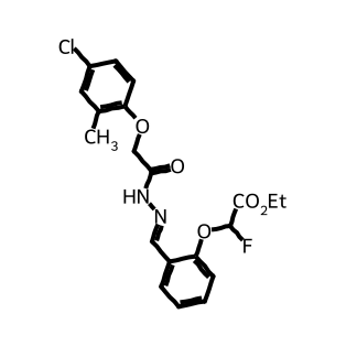 CCOC(=O)C(F)Oc1ccccc1/C=N/NC(=O)COc1ccc(Cl)cc1C